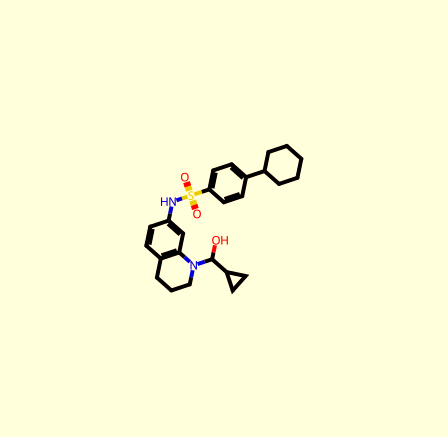 O=S(=O)(Nc1ccc2c(c1)N(C(O)C1CC1)CCC2)c1ccc(C2CCCCC2)cc1